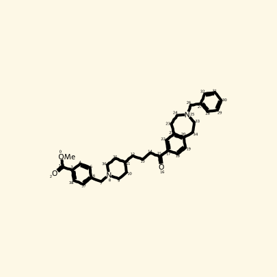 COC(=O)c1ccc(CN2CCC(CCCC(=O)c3ccc4c(c3)CCN(Cc3ccccc3)CC4)CC2)cc1